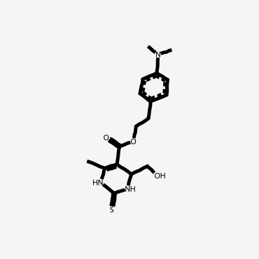 CC1=C(C(=O)OCCc2ccc(N(C)C)cc2)C(CO)NC(=S)N1